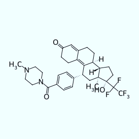 CN1CCN(C(=O)c2ccc([C@H]3C[C@@]4(C)[C@@H](CC[C@@]4(O)C(F)(F)C(F)(F)F)[C@@H]4CCC5=CC(=O)CCC5=C43)cc2)CC1